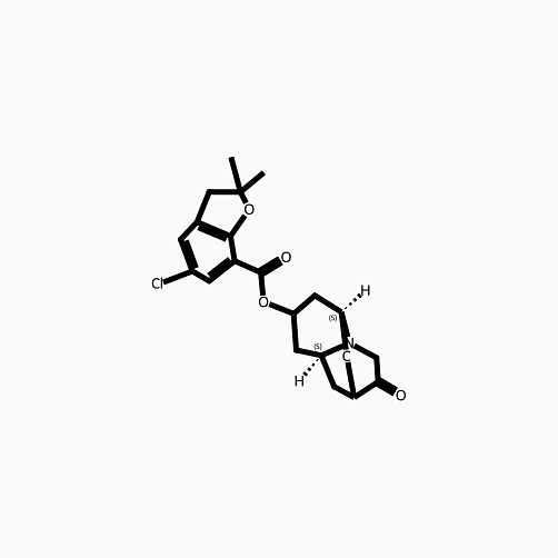 CC1(C)Cc2cc(Cl)cc(C(=O)OC3C[C@@H]4CC5C[C@@H](C3)N4CC5=O)c2O1